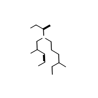 BCC(=C)N(CCCC(C)CC)CC(C)C=CC